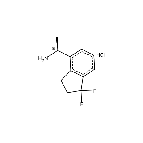 C[C@H](N)c1cccc2c1CCC2(F)F.Cl